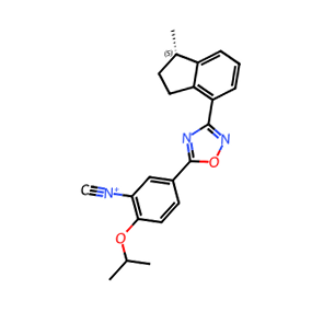 [C-]#[N+]c1cc(-c2nc(-c3cccc4c3CC[C@@H]4C)no2)ccc1OC(C)C